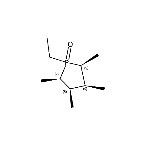 CCP1(=O)[C@H](C)[C@H](C)[C@H](C)[C@@H]1C